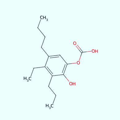 CCCCc1cc(OC(=O)O)c(O)c(CCC)c1CC